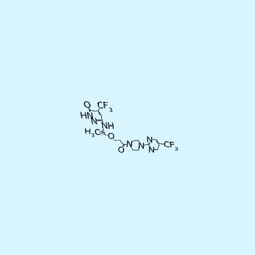 C[C@@H](COCCC(=O)N1CCN(c2ncc(C(F)(F)F)cn2)CC1)Nc1cc(C(F)(F)F)c(=O)[nH]n1